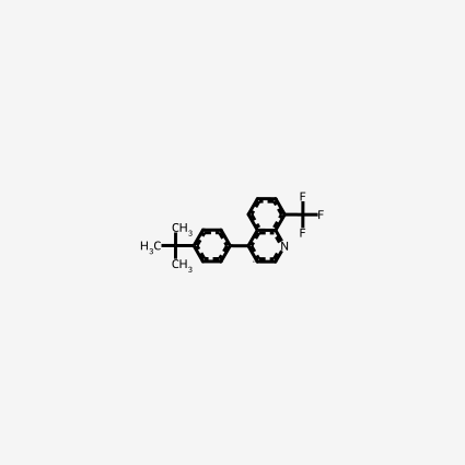 CC(C)(C)c1ccc(-c2[c]cnc3c(C(F)(F)F)cccc23)cc1